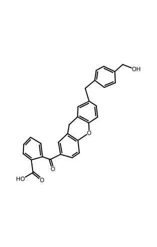 O=C(O)c1ccccc1C(=O)c1ccc2c(c1)Cc1cc(Cc3ccc(CO)cc3)ccc1O2